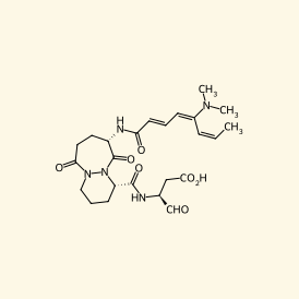 C\C=C/C(=C\C=C\C(=O)N[C@H]1CCC(=O)N2CCC[C@@H](C(=O)N[C@H](C=O)CC(=O)O)N2C1=O)N(C)C